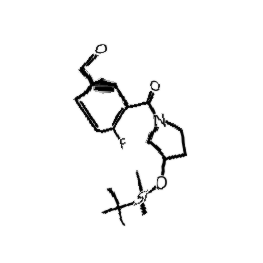 CC(C)(C)[Si](C)(C)OC1CCN(C(=O)c2cc(C=O)ccc2F)C1